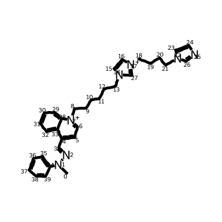 CN(/N=C/c1cc[n+](CCCCCCn2cc[n+](CCCCn3ccnc3)c2)c2ccccc12)c1ccccc1